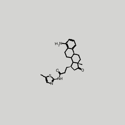 Cc1cnc(NC(=O)CC[C@@H]2CC(=O)[C@@]3(C)CCC4c5cccc(N)c5CCC4C23)s1